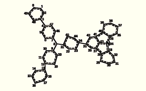 c1ccc(-c2ccc(C(c3ccc(-c4ccccc4)cc3)c3ccc(-c4cc5c6ccccc6n6c7ccccc7c(c4)c56)cc3)cc2)cc1